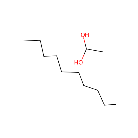 CC(O)O.CCCCCCCCCC